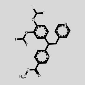 COC(=O)c1ccc(C(Cc2ccncc2)c2ccc(OC(F)F)c(OC(F)F)c2)nc1